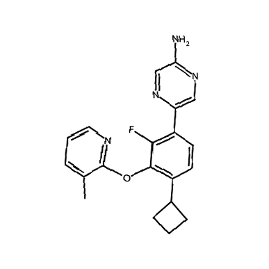 Cc1cccnc1Oc1c(C2CCC2)ccc(-c2cnc(N)cn2)c1F